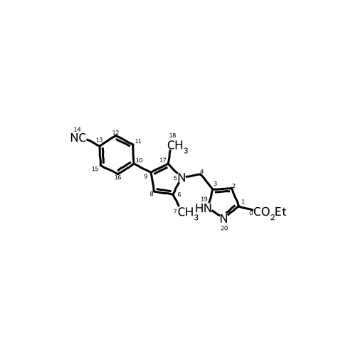 CCOC(=O)c1cc(Cn2c(C)cc(-c3ccc(C#N)cc3)c2C)[nH]n1